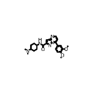 COc1ccc(-c2ccnc3cc(C(=O)NC4CCC(N(C)C)CC4)nn23)cc1OC